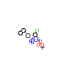 CC(C)(C)OC(=O)ON1Cc2cc(Cl)ccc2-n2c(nnc2[C@H]2CC[C@H](c3cccc4ccccc43)CC2)C1